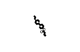 C=CCC(=O)O[C@H]1CC[C@H]([C@H]2CC[C@H](CCC)CC2)CC1